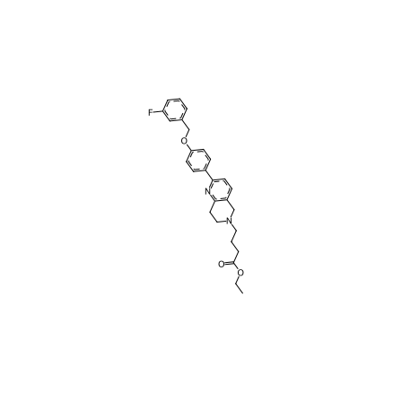 CCOC(=O)CCCN1CCc2nc(-c3ccc(OCc4cccc(F)c4)cc3)ccc2C1